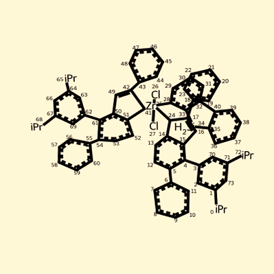 CC(C)c1cc(-c2c(-c3ccccc3)ccc3c2C=C(c2ccccc2)[CH]3[Zr]([Cl])([Cl])([c]2cccc3c2[SiH2]c2ccccc2-3)[CH]2C(c3ccccc3)=Cc3c2ccc(-c2ccccc2)c3-c2cc(C(C)C)cc(C(C)C)c2)cc(C(C)C)c1